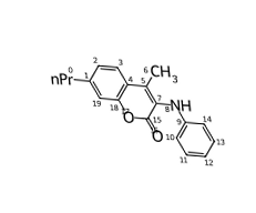 CCCc1ccc2c(C)c(Nc3ccccc3)c(=O)oc2c1